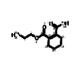 NCCOC(=O)C1=C(C(=O)O)CCCC1